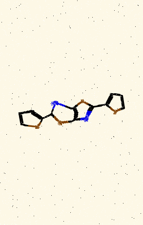 c1csc([C]2Nc3sc(-c4cccs4)nc3S2)c1